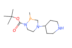 CP1CN(C2CCNCC2)CCN1C(=O)OC(C)(C)C